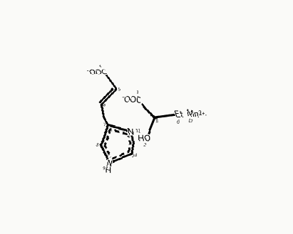 CCC(O)C(=O)[O-].O=C([O-])C=Cc1c[nH]cn1.[Mn+2]